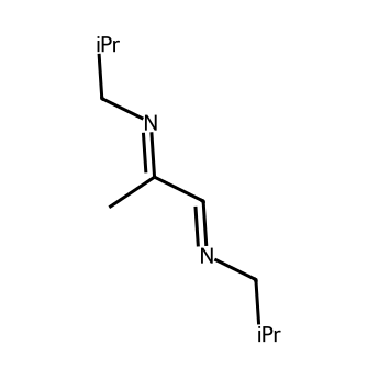 CC(/C=N/CC(C)C)=N\CC(C)C